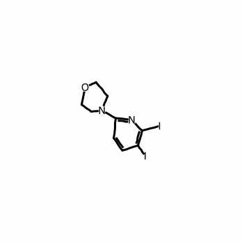 Ic1ccc(N2CCOCC2)nc1I